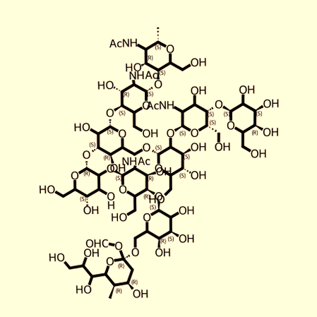 CC(=O)NC1C(O)[C@H](O[C@@H]2OC(CO)[C@H](O)[C@H](O)C2O)[C@H](CO)O[C@H]1OC1[C@@H](OCC2O[C@@H](O[C@@H]3C(CO)O[C@@H](O[C@@H]4C(CO)O[C@@H](C)C(NC(C)=O)[C@H]4O)C(NC(C)=O)[C@H]3O)C(O)[C@@H](O[C@H]3OC(CO)[C@@H](O)C(O)C3O[C@@H]3OC(CO)[C@H](O[C@@H]4OC(CO[C@]5(OC=O)C[C@@H](O)[C@@H](C)C(C(O)C(O)CO)O5)[C@H](O)[C@H](O)C4O)[C@H](O)C3NC(C)=O)[C@@H]2O)OC(CO)[C@@H](O)[C@@H]1O